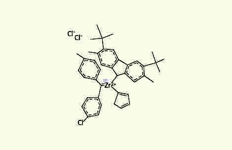 Cc1ccc(/[C](c2ccc(Cl)cc2)=[Zr+2](/[C]2=CC=CC2)[CH]2c3cc(C)c(C(C)(C)C)cc3-c3cc(C(C)(C)C)c(C)cc32)cc1.[Cl-].[Cl-]